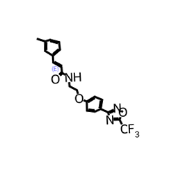 Cc1cccc(/C=C/C(=O)NCCOc2ccc(-c3noc(C(F)(F)F)n3)cc2)c1